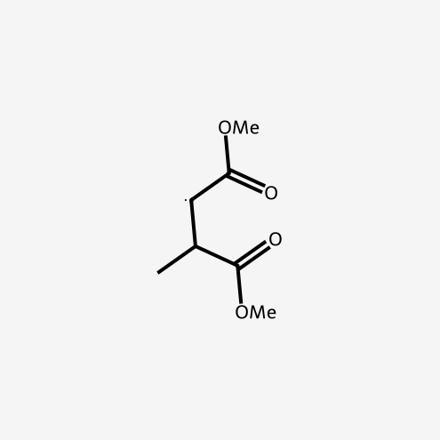 COC(=O)[CH]C(C)C(=O)OC